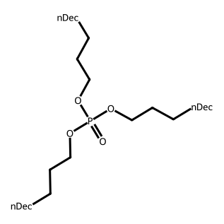 CCCCCCCCCCCCCOP(=O)(OCCCCCCCCCCCCC)OCCCCCCCCCCCCC